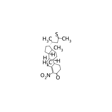 CC(=S)CC(C)[C@H]1CC[C@H]2[C@@H]3CCC4=C([N+](=O)[O-])C(=O)CC[C@]4(C)[C@H]3CC[C@]12C